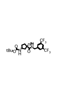 CCC[C@]1(C(=O)NCc2cc(C(F)(F)F)cc(C(F)(F)F)c2)CC[C@@H](NC(=O)OC(C)(C)C)C1